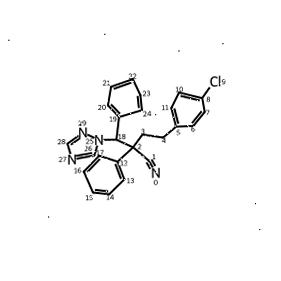 N#CC(CCc1ccc(Cl)cc1)(c1ccccc1)C(c1ccccc1)n1cncn1